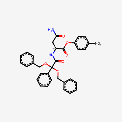 NC(=O)C[C@H](NC(=O)C(OCc1ccccc1)(OCc1ccccc1)c1ccccc1)C(=O)Oc1ccc([N+](=O)[O-])cc1